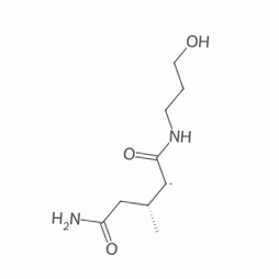 C[C@@H]([CH]C(=O)NCCCO)CC(N)=O